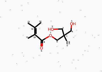 CCC(CO)(CO)COC(=O)C(C)=C(C)C